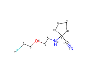 N#CC1(NCCOCCF)CCCC1